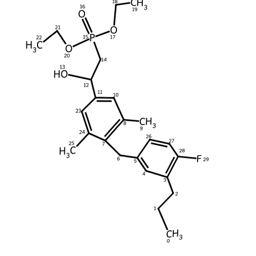 CCCc1cc(Cc2c(C)cc(C(O)CP(=O)(OCC)OCC)cc2C)ccc1F